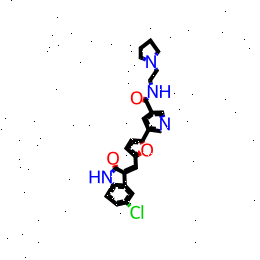 O=C1Nc2ccc(Cl)cc2C1=Cc1ccc(-c2cncc(C(=O)NCCN3CCCC3)c2)o1